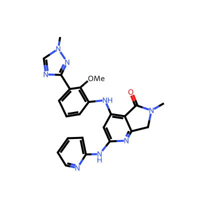 COc1c(Nc2cc(Nc3ccccn3)nc3c2C(=O)N(C)C3)cccc1-c1ncn(C)n1